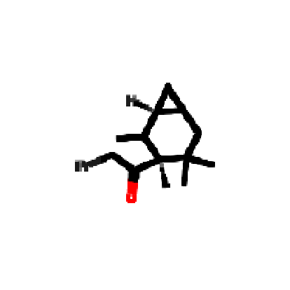 CC(C)CC(=O)[C@@]1(C)C(C)[C@H]2CC2CC1(C)C